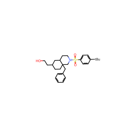 CC(C)(C)c1ccc(S(=O)(=O)N2CCC3CC(CCO)CCC3(Cc3ccccc3)C2)cc1